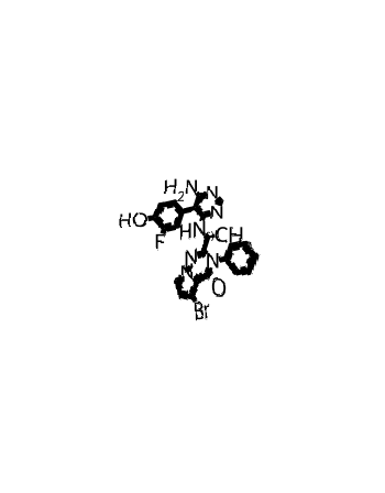 C[C@H](Nc1ncnc(N)c1-c1ccc(O)c(F)c1)c1nn2ccc(Br)c2c(=O)n1-c1ccccc1